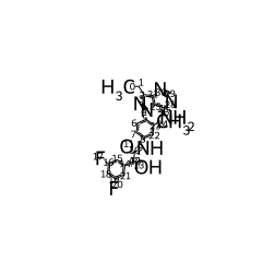 CCc1nn(-c2ccc(NC(=O)[C@H](O)c3cc(F)cc(F)c3)cc2C)c2c(N)ncnc12